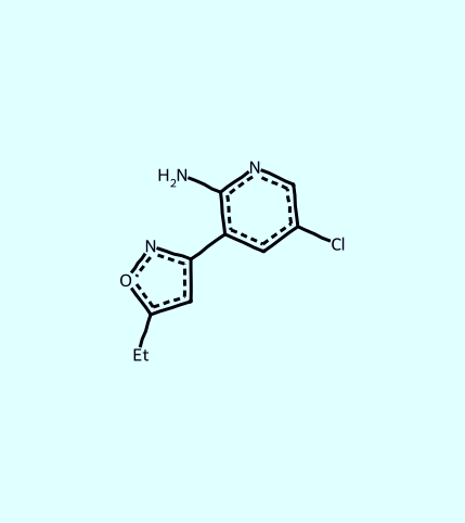 CCc1cc(-c2cc(Cl)cnc2N)no1